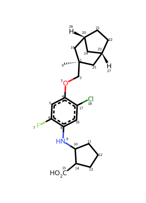 C[C@]1(COc2cc(F)c(NC3CCCC3C(=O)O)cc2Cl)C[C@@H]2CC[C@@H](C2)C1